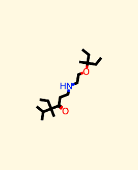 CCC(C)(CC)OCCNCCC(=O)C(C)(CC)C(C)C